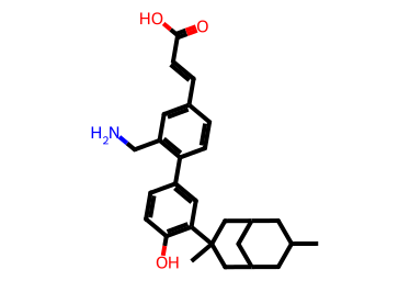 CC1CC2CC(C1)CC(C)(c1cc(-c3ccc(/C=C/C(=O)O)cc3CN)ccc1O)C2